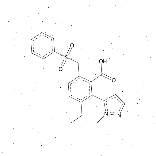 CCc1ccc(CS(=O)(=O)c2ccccc2)c(C(=O)O)c1-c1ccnn1C